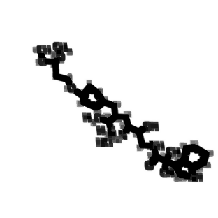 COC(CCOc1ccc(CC(CC(N)C(O)CNC(=O)C(C)(C)c2c[nH]c3ccccc23)C(C)C)cc1)OC.Cl